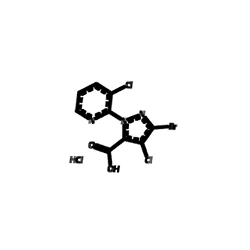 Cl.O=C(O)c1c(Cl)c(Br)nn1-c1ncccc1Cl